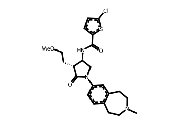 COCC[C@H]1C(=O)N(c2ccc3c(c2)CCN(C)CC3)C[C@@H]1NC(=O)c1ccc(Cl)s1